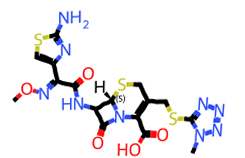 CON=C(C(=O)NC1C(=O)N2C(C(=O)O)=C(CSc3nnnn3C)CS[C@@H]12)c1csc(N)n1